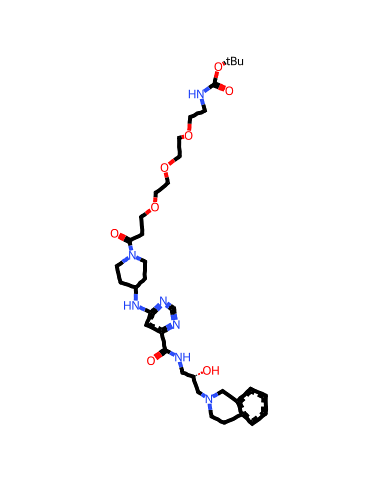 CC(C)(C)OC(=O)NCCOCCOCCOCCC(=O)N1CCC(Nc2cc(C(=O)NC[C@H](O)CN3CCc4ccccc4C3)ncn2)CC1